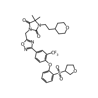 CC1(C)C(=O)N(Cc2nc(-c3ccc(Oc4ccccc4S(=O)(=O)C4CCOC4)c(C(F)(F)F)c3)no2)C(=O)N1CCC1CCOCC1